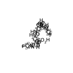 O=C(Nc1ccc(N(c2cnn(-c3ccc(F)cc3)c2)[SH](=O)=O)c(C(=O)O)c1)Nc1ccc(N(c2cnn(-c3ccc(F)cc3)c2)[SH](=O)=O)c(C(=O)O)c1